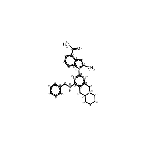 Cc1cc2c(C(N)=O)cccc2n1-c1nc2c(c(NCc3ccccc3)n1)CC1CCCCN1C2